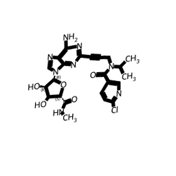 CNC(=O)[C@H]1O[C@@H](n2cnc3c(N)nc(C#CCN(C(=O)c4ccc(Cl)nc4)C(C)C)nc32)[C@H](O)C1O